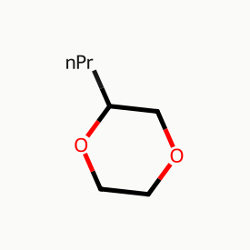 CCCC1COCCO1